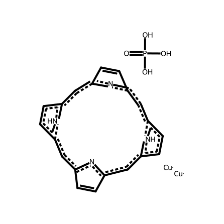 C1=Cc2cc3ccc(cc4nc(cc5ccc(cc1n2)[nH]5)C=C4)[nH]3.O=P(O)(O)O.[Cu].[Cu]